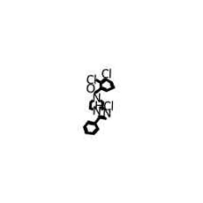 Cl.O=C(c1cccc(Cl)c1Cl)N1CCn2c(-c3ccccc3)cnc2C1